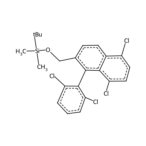 CC(C)(C)[Si](C)(C)OCc1ccc2c(Cl)ccc(Cl)c2c1-c1c(Cl)cccc1Cl